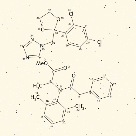 COC(=O)C(C)N(C(=O)Cc1ccccc1)c1c(C)cccc1C.Clc1ccc(C2(Cn3cncn3)OCCO2)c(Cl)c1